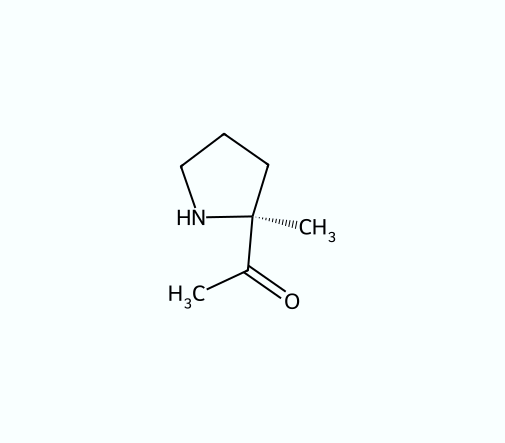 CC(=O)[C@]1(C)CCCN1